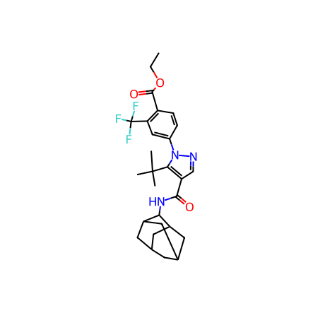 CCOC(=O)c1ccc(-n2ncc(C(=O)NC3C4CC5CC(C4)CC3C5)c2C(C)(C)C)cc1C(F)(F)F